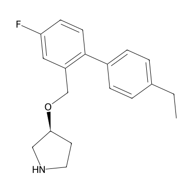 CCc1ccc(-c2ccc(F)cc2CO[C@H]2CCNC2)cc1